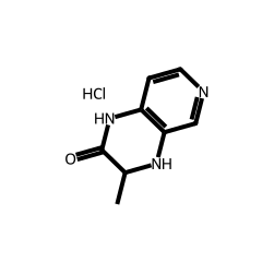 CC1Nc2cnccc2NC1=O.Cl